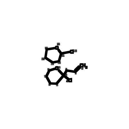 C=CCC1(Cl)CCCCO1.ClC1CCCCO1